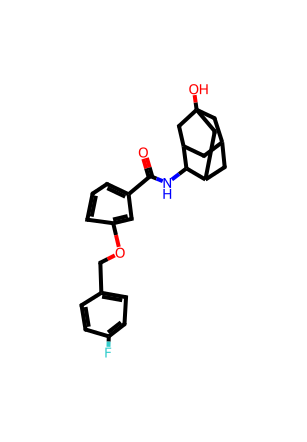 O=C(NC1C2CC3CC1CC(O)(C3)C2)c1cccc(OCc2ccc(F)cc2)c1